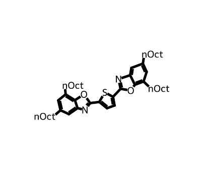 CCCCCCCCc1cc(CCCCCCCC)c2oc(-c3ccc(-c4nc5cc(CCCCCCCC)cc(CCCCCCCC)c5o4)s3)nc2c1